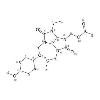 CCN1C(=O)N(COC2CSC(OC)CS2)C2C1N(COC(C)=O)C(=O)N2COC